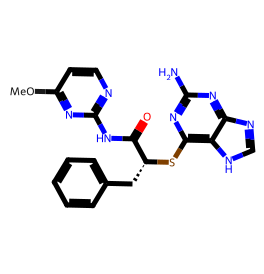 COc1ccnc(NC(=O)[C@@H](Cc2ccccc2)Sc2nc(N)nc3nc[nH]c23)n1